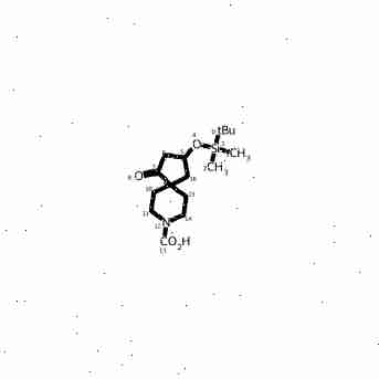 CC(C)(C)[Si](C)(C)OC1CC(=O)C2(CCN(C(=O)O)CC2)C1